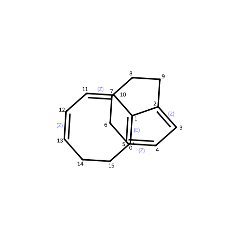 [C]1=C(/C2=C\C=C/CCCC2)\C=C/C=C\CC/1